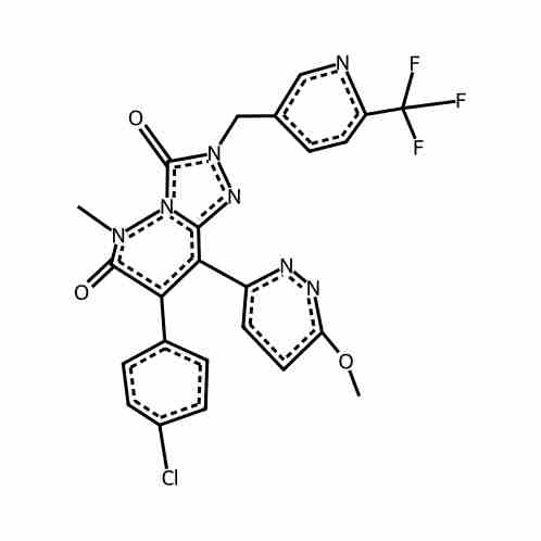 COc1ccc(-c2c(-c3ccc(Cl)cc3)c(=O)n(C)n3c(=O)n(Cc4ccc(C(F)(F)F)nc4)nc23)nn1